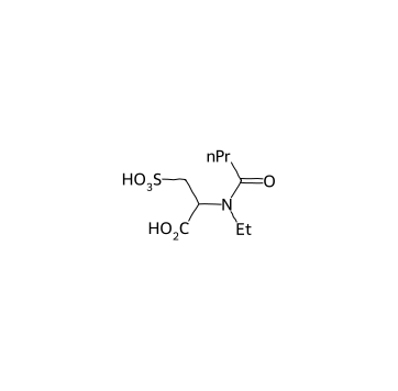 CCCC(=O)N(CC)C(CS(=O)(=O)O)C(=O)O